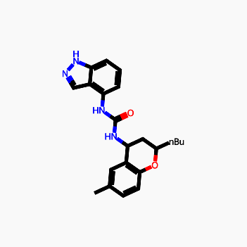 CCCCC1CC(NC(=O)Nc2cccc3[nH]ncc23)c2cc(C)ccc2O1